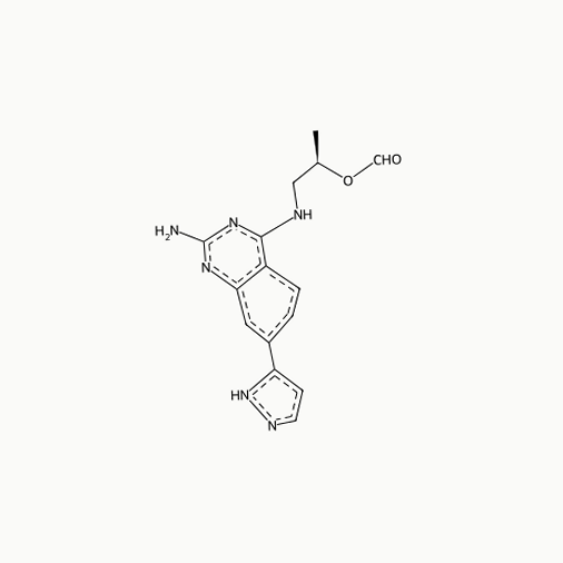 C[C@H](CNc1nc(N)nc2cc(-c3ccn[nH]3)ccc12)OC=O